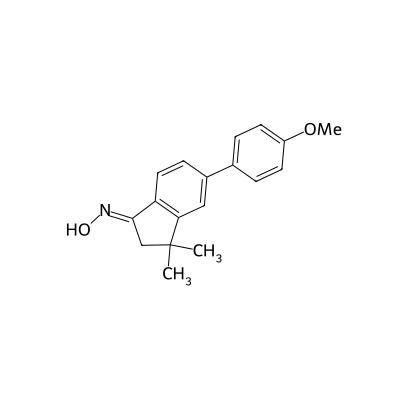 COc1ccc(-c2ccc3c(c2)C(C)(C)C/C3=N\O)cc1